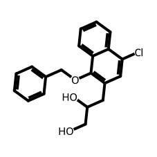 OCC(O)Cc1cc(Cl)c2ccccc2c1OCc1ccccc1